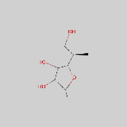 CC1O[C@@H]([C@H](C)CO)C(O)C1O